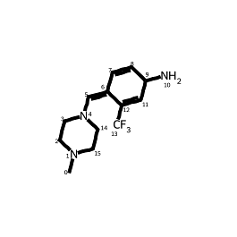 CN1CCN(/C=C2/C=CC(N)C=C2C(F)(F)F)CC1